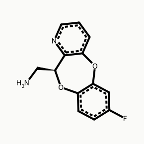 NC[C@@H]1Oc2ccc(F)cc2Oc2cccnc21